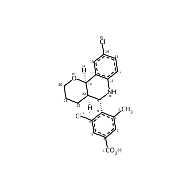 Cc1cc(C(=O)O)cc(Cl)c1[C@H]1Nc2ccc(Cl)cc2[C@@H]2OCCC[C@H]12